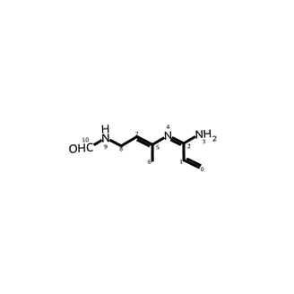 C=C/C(N)=N\C(C)=C\CNC=O